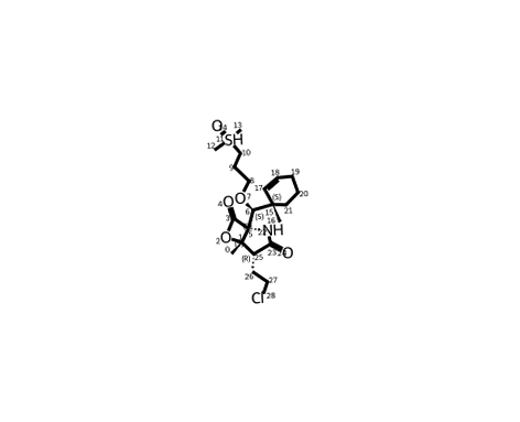 C[C@@]12OC(=O)[C@]1([C@@H](OCCC[SH](C)(C)=O)[C@]1(C)C=CCCC1)NC(=O)[C@@H]2CCCl